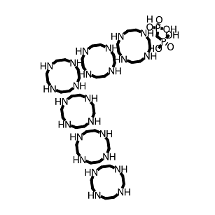 C1CNCCNCCNCCN1.C1CNCCNCCNCCN1.C1CNCCNCCNCCN1.C1CNCCNCCNCCN1.C1CNCCNCCNCCN1.C1CNCCNCCNCCN1.O=P(O)(O)CP(=O)(O)O